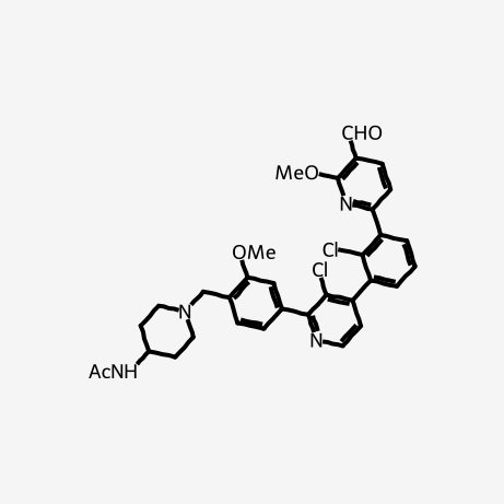 COc1cc(-c2nccc(-c3cccc(-c4ccc(C=O)c(OC)n4)c3Cl)c2Cl)ccc1CN1CCC(NC(C)=O)CC1